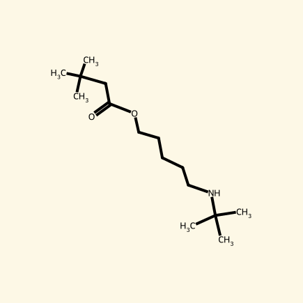 CC(C)(C)CC(=O)OCCCCCNC(C)(C)C